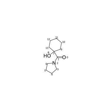 O=C(N1CCCC1)C1(O)CCCCC1